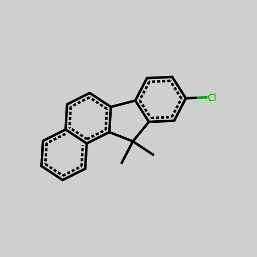 CC1(C)c2cc(Cl)ccc2-c2ccc3ccccc3c21